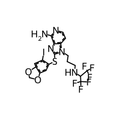 Nc1nccc2c1nc(Sc1cc3c(cc1I)OCO3)n2CCCNC(C(F)(F)F)C(F)(F)F